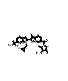 Cc1c(-c2cc3ccc(C(C)(O)C(F)(F)F)nc3n2CC2CC2)nn2cc(C(=O)N3CC(C)C(N)C3C)ccc12